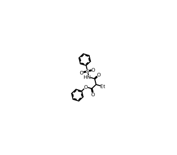 CCC(C(=O)NS(=O)(=O)c1ccccc1)C(=O)Oc1ccccc1